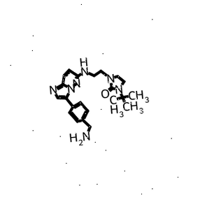 CC(C)(C)N1CCN(CCNc2ccc3ncc(-c4ccc(CN)cc4)n3n2)C1=O